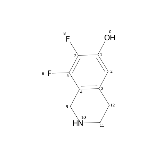 Oc1cc2c(c(F)c1F)CNCC2